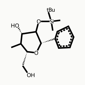 CC1[C@H](O)C(O[Si](C)(C)C(C)(C)C)[C@H](c2ccccc2)O[C@@H]1CO